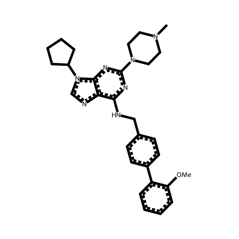 COc1ccccc1-c1ccc(CNc2nc(N3CCN(C)CC3)nc3c2ncn3C2CCCC2)cc1